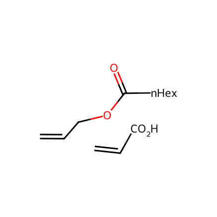 C=CC(=O)O.C=CCOC(=O)CCCCCC